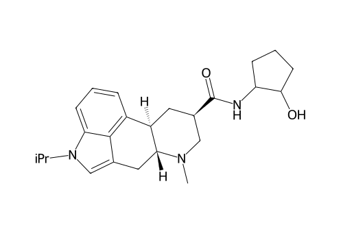 CC(C)n1cc2c3c(cccc31)[C@H]1C[C@@H](C(=O)NC3CCCC3O)CN(C)[C@@H]1C2